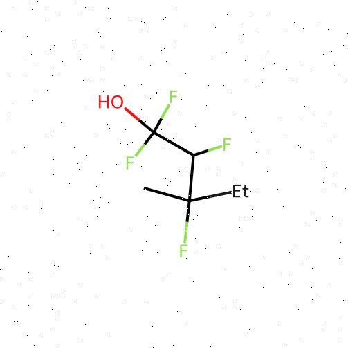 CCC(C)(F)C(F)C(O)(F)F